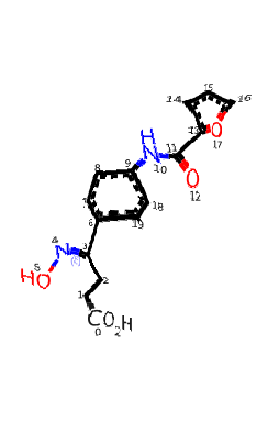 O=C(O)CC/C(=N\O)c1ccc(NC(=O)c2ccco2)cc1